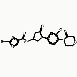 O=C(NC1CC(=O)N(c2ccc(N3CCOCC3=O)c(Cl)c2)C1)c1cnc(Br)s1